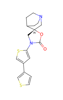 O=C1O[C@]2(CN3CCC2CC3)CN1c1cc(-c2ccsc2)cs1